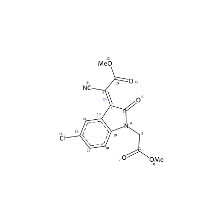 COC(=O)CN1C(=O)/C(=C(/C#N)C(=O)OC)c2cc(Cl)ccc21